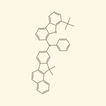 CC(C)(C)c1cccc2c1oc1c(N(c3ccccc3)c3ccc4c(c3)C(C)(C)c3c-4ccc4ccccc34)cccc12